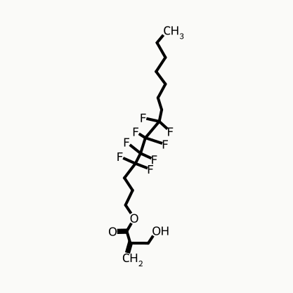 C=C(CO)C(=O)OCCCC(F)(F)C(F)(F)C(F)(F)C(F)(F)CCCCCCC